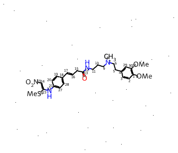 COc1ccc(CCN(C)CCCNC(=O)C/C=C/c2ccc(NC(=C[N+](=O)[O-])SC)cc2)cc1OC